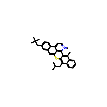 Cc1c2c(c(CC(C)C)c3ccccc13)Sc1cc3cc(CC(C)(C)C)ccc3c3cc[n+](C)c-2c13